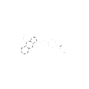 CN(C)Cc1c2ccccc2cc2c(CCC3CCN(C(=O)OC(C)(C)C)CC3)noc12